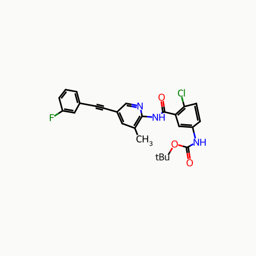 Cc1cc(C#Cc2cccc(F)c2)cnc1NC(=O)c1cc(NC(=O)OC(C)(C)C)ccc1Cl